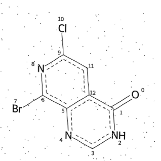 O=c1[nH]cnc2c(Br)nc(Cl)cc12